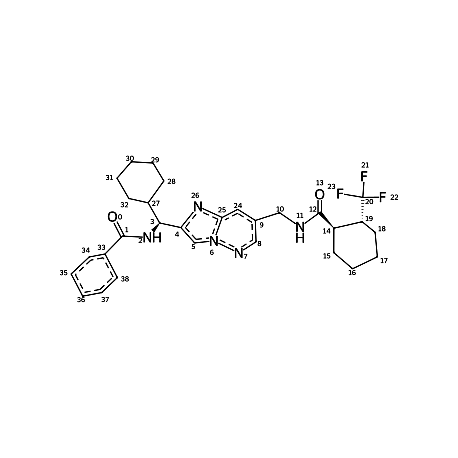 O=C(N[C@H](c1cn2ncc(CNC(=O)[C@@H]3CCCC[C@H]3C(F)(F)F)cc2n1)C1CCCCC1)c1ccccc1